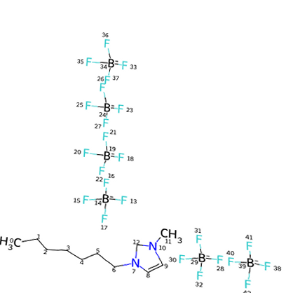 CCCCCCCN1C=CN(C)C1.F[B-](F)(F)F.F[B-](F)(F)F.F[B-](F)(F)F.F[B-](F)(F)F.F[B-](F)(F)F.F[B-](F)(F)F